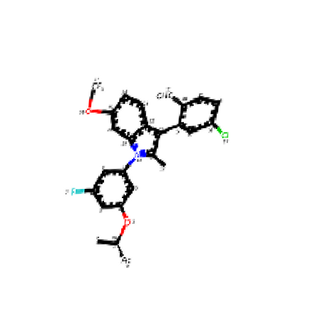 CC(=O)[C@@H](C)Oc1cc(F)cc(-n2c(C)c(-c3cc(Cl)ccc3C=O)c3ccc(OC(F)(F)F)cc32)c1